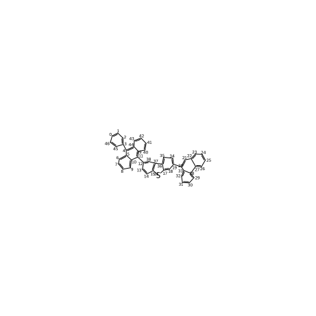 c1ccc(-c2c3ccccc3c(-c3ccc4sc5cc(-c6cc7ccccc7c7ccccc67)ccc5c4c3)c3ccccc23)cc1